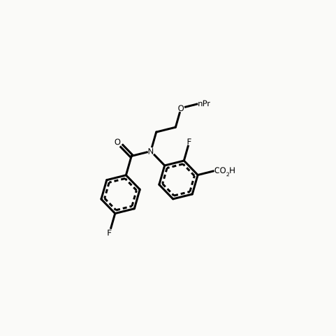 CCCOCCN(C(=O)c1ccc(F)cc1)c1cccc(C(=O)O)c1F